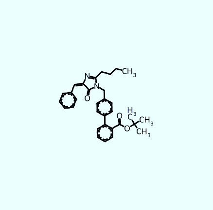 CCCCC1=NC(=Cc2ccccc2)C(=O)N1Cc1ccc(-c2ccccc2C(=O)OC(C)(C)C)cc1